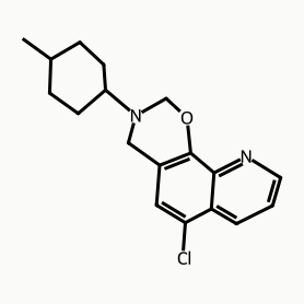 CC1CCC(N2COc3c(cc(Cl)c4cccnc34)C2)CC1